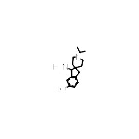 CC(C)N1CCC2(CC1)Cc1ccc(O)cc1C2N